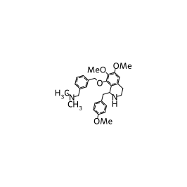 COc1ccc(CC2NCCc3cc(OC)c(OC)c(OCc4cccc(CN(C)C)c4)c32)cc1